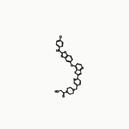 O=C(CO)N1CCN(Cc2ccc(-c3cc4nccc(Oc5ccc6oc(Nc7ccc(Cl)cc7)nc6c5)c4s3)nc2)CC1